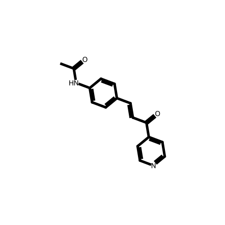 CC(=O)Nc1ccc(C=CC(=O)c2ccncc2)cc1